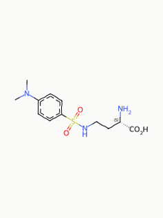 CN(C)c1ccc(S(=O)(=O)NCC[C@H](N)C(=O)O)cc1